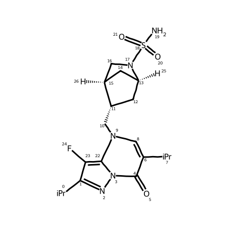 CC(C)c1nn2c(=O)c(C(C)C)cn(C[C@H]3C[C@H]4C[C@@H]3CN4S(N)(=O)=O)c2c1F